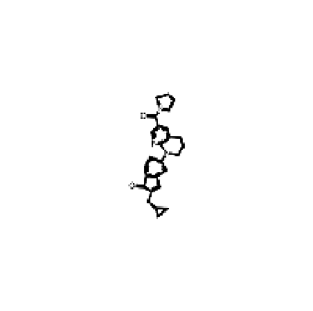 O=C1C(CC2CC2)=Cc2cc(N3CCCc4cc(C(=O)N5CCCC5)cnc43)ccc21